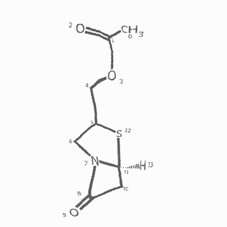 CC(=O)OCC1CN2C(=O)C[C@@H]2S1